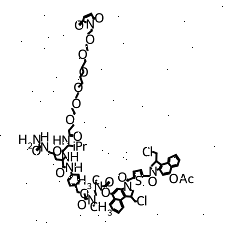 CC(=O)Oc1cc2c(c3ccccc13)C(CCl)CN2C(=O)c1ccc(C(=O)N2CC(CCl)c3c2cc(OC(=O)N(C)CCN(C)C(=O)OCc2ccc(NC(=O)C(CCCNC(N)=O)NC(=O)C(NC(=O)CCOCCOCCOCCOCCOCCOCCN4C(=O)C=CC4=O)C(C)C)cc2)c2ccccc32)s1